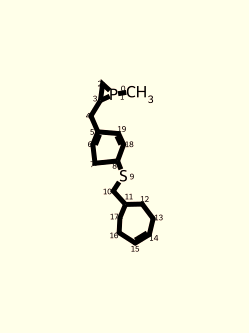 CP1CC1CC1=CCC(SCC2CCC=CCC2)C=C1